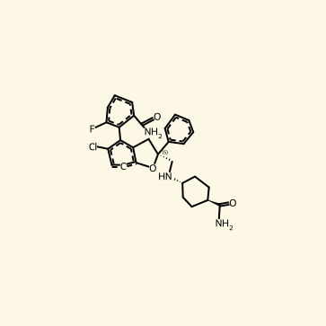 NC(=O)c1cccc(F)c1-c1c(Cl)ccc2c1C[C@@](CN[C@H]1CC[C@H](C(N)=O)CC1)(c1ccccc1)O2